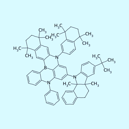 CC(C)(C)c1ccc2c(c1)C1(C)CCc3ccccc3C1(C)N2c1cc2c3c(c1)N(c1ccc4c(c1)C(C)(C)CCC4(C)C)c1cc4c(cc1B3c1ccccc1N2c1ccccc1)C(C)(C)CCC4(C)C